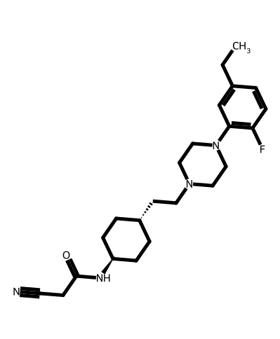 CCc1ccc(F)c(N2CCN(CC[C@H]3CC[C@H](NC(=O)CC#N)CC3)CC2)c1